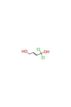 OCC=CC(O)(Cl)Cl